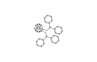 c1ccc(P(C[C]23[CH]4[CH]5[CH]6[CH]2[Fe]56432789[CH]3[CH]2[CH]7[C]8(CP(c2ccccc2)c2ccccc2)[CH]39)c2ccccc2)cc1